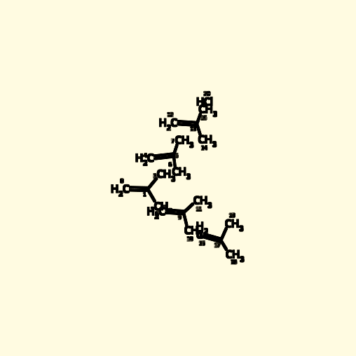 C=C(C)C.C=C(C)C.C=C(C)C.C=C(C)C.C=C(C)C.Cl